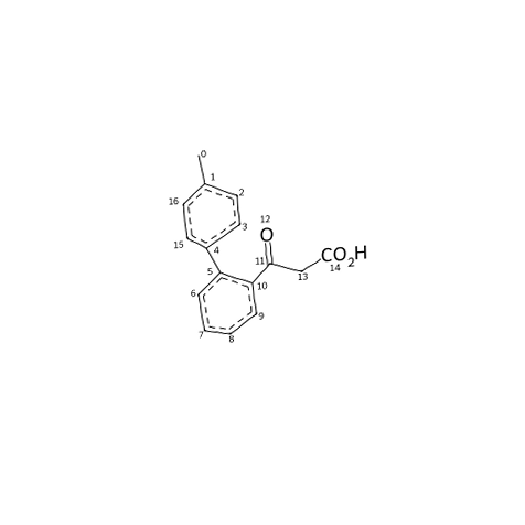 Cc1ccc(-c2ccccc2C(=O)CC(=O)O)cc1